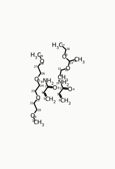 C=CC(N)=O.C=CC(N)=O.CCOC(C)OCC.COCCOCCOCCOC